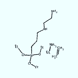 C=C.CCO[Si](CCCNCCN)(OCC)OCC.[CH2]CN